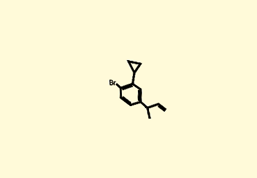 C=C[C](C)c1ccc(Br)c(C2CC2)c1